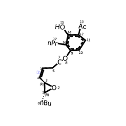 CCCC[C@H]1O[C@@H]1/C=C\CCOc1ccc(C(C)=O)c(O)c1CCC